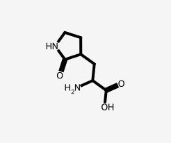 NC(CC1CCNC1=O)C(=O)O